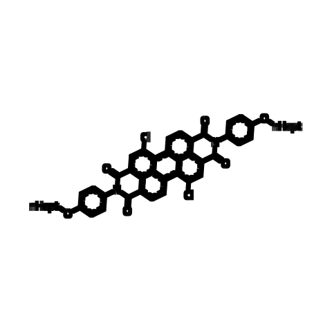 CCCCCCCOc1ccc(N2C(=O)c3ccc4c5c(Cl)cc6c7c(ccc(c8c(Cl)cc(c3c48)C2=O)c75)C(=O)N(c2ccc(OCCCCCCC)cc2)C6=O)cc1